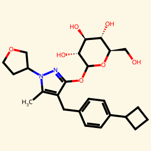 Cc1c(Cc2ccc(C3CCC3)cc2)c(OC2O[C@H](CO)[C@@H](O)[C@H](O)[C@H]2O)nn1C1CCOC1